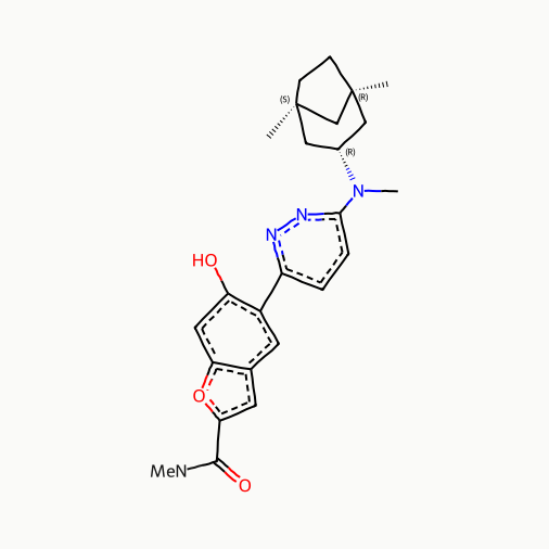 CNC(=O)c1cc2cc(-c3ccc(N(C)[C@H]4C[C@]5(C)CC[C@](C)(C4)C5)nn3)c(O)cc2o1